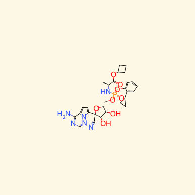 C[C@H](NP(=O)(OC[C@H]1O[C@@](C#N)(c2ccc3c(N)ncnn23)[C@H](O)[C@@H]1O)Oc1ccccc1C1CC1)C(=O)OC1CCC1